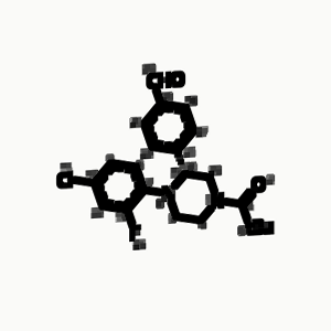 CC(C)(C)C(=O)N1CCN(c2ccc(Cl)cc2F)[C@H](c2ccc(C=O)cc2)C1